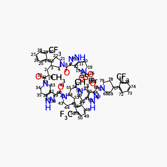 CC(CC1CN(C(=O)c2n[nH]c3c2CN(S(=O)(=O)C(C)C)CC3)CCC1c1ccccc1C(F)(F)F)C(=O)N1CCc2[nH]nc(C(=O)N3CCC(c4ccccc4C(F)(F)F)CC3CC(C)N3CCc4[nH]nc(C(=O)N5CCC(c6ccccc6C(F)(F)F)CC5)c4C3)c2C1